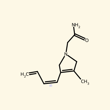 C=C/C=C\C1=C(C)CN(CC(N)=O)C1